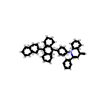 C=C1C=C(c2ccccc2)N(c2ccc(-c3c4ccccc4c(-c4ccc5ccccc5c4)c4ccccc34)cc2)c2ccccc21